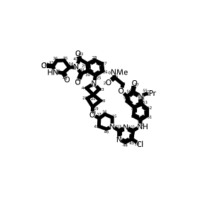 CNC(=O)COc1cc2cc(Nc3nc(N4CCC(OC5CC6(C5)CN(c5cccc7c5C(=O)N(C5CCC(=O)NC5=O)C7=O)C6)CC4)ncc3Cl)ccc2n(C(C)C)c1=O